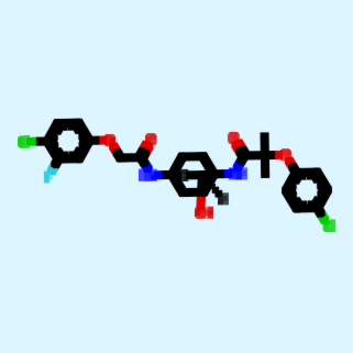 CC(C)(Oc1ccc(Cl)cc1)C(=O)NC12CCC(NC(=O)COc3ccc(Cl)c(F)c3)(CC1)C[C@@H]2O